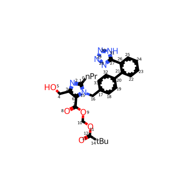 CCCc1nc(CO)c(C(=O)OCOC(=O)C(C)(C)C)n1Cc1ccc(-c2ccccc2-c2nnn[nH]2)cc1